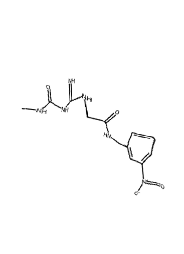 CNC(=O)NC(=N)NCC(=O)Nc1cccc([N+](=O)[O-])c1